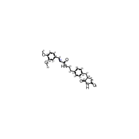 COc1ccc(/C=C/C(=O)NCCc2ccc(CC3SC(=O)NC3=O)cc2)cc1OC